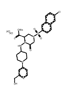 COC(=O)C1CN(S(=O)(=O)c2ccc3cc(Cl)ccc3c2)CC(=O)N1NC1CCN(c2ccnc(CO)c2)CC1.Cl.Cl